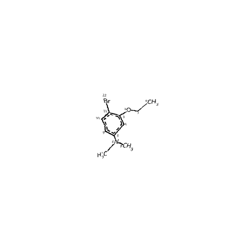 CCOc1cc(N(C)C)ccc1Br